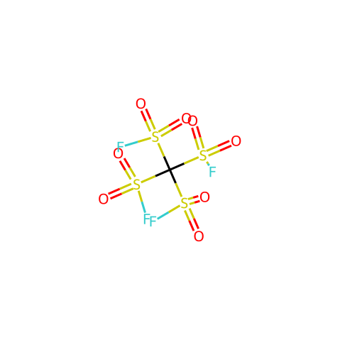 O=S(=O)(F)C(S(=O)(=O)F)(S(=O)(=O)F)S(=O)(=O)F